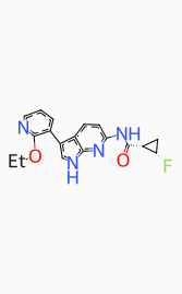 CCOc1ncccc1-c1c[nH]c2nc(NC(=O)[C@@H]3C[C@@H]3F)ccc12